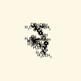 CC(C)CC(C)OC(=O)C(=Cc1ccc(Nc2nc(NCCC[Si](C)(O[Si](C)(C)C)O[Si](C)(C)C)nc(Nc3ccc(C=C(C(=O)OC(C)CC(C)C)C(=O)OC(C)CC(C)C)cc3)n2)cc1)C(=O)OC(C)CC(C)C